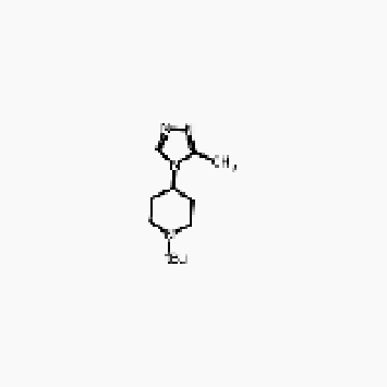 Cc1nncn1C1CCN(C(C)(C)C)CC1